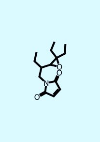 CCC(CN1C(=O)C=CC1=O)C1OC1(CC)CC